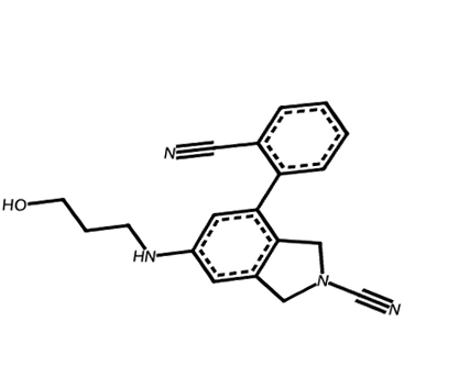 N#Cc1ccccc1-c1cc(NCCCO)cc2c1CN(C#N)C2